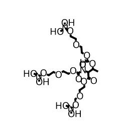 CC(OC(=O)OCCOCCON(O)O)C(NC(=O)OCCOCCON(O)O)C(=O)OCCOCON(O)O